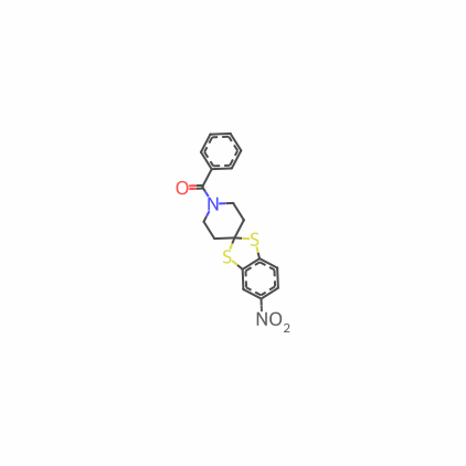 O=C(c1ccccc1)N1CCC2(CC1)Sc1ccc([N+](=O)[O-])cc1S2